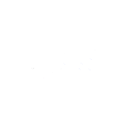 COc1ccc(C(=O)N2CC(c3cc(C)nc4ncnn34)CC(F)(F)C2)cc1I